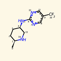 C[C@H]1CC[C@@H](Nc2ncc(C(F)(F)F)cn2)CN1